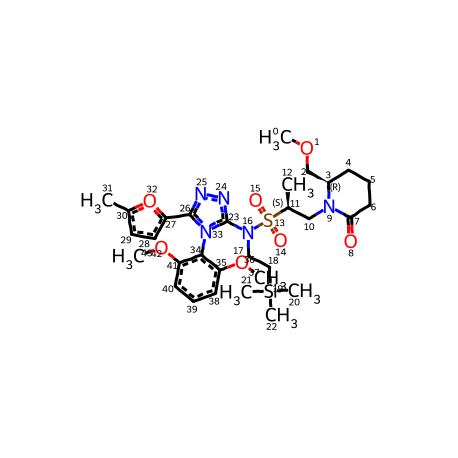 COC[C@H]1CCCC(=O)N1C[C@H](C)S(=O)(=O)N(CC[Si](C)(C)C)c1nnc(-c2ccc(C)o2)n1-c1c(OC)cccc1OC